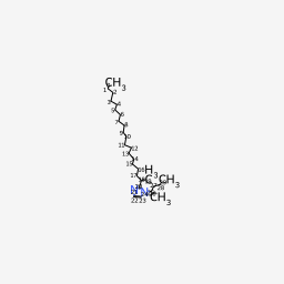 CCCCCCCCCCCCCCCCCCC(C)c1nccn1C(C)CCC